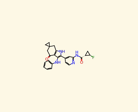 O=C1CC2(CC2)Cc2[nH]c(-c3ccnc(NC(=O)[C@@H]4C[C@H]4F)c3)c(Nc3ccccc3)c21